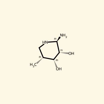 C[C@@H]1CN[C@@H](N)[C@H](O)[C@@H]1O